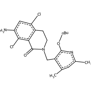 CCCCOc1nc(C)cc(C)c1CN1CCc2c(Cl)cc(N)c(Cl)c2C1=O